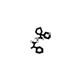 CC(C(=O)ONC(=S)C1(c2cccnc2)CCCCC1)c1ccccc1